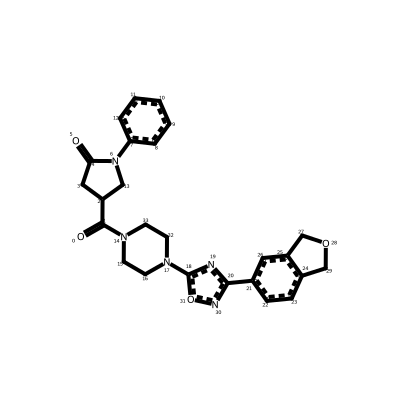 O=C(C1CC(=O)N(c2ccccc2)C1)N1CCN(c2nc(-c3ccc4c(c3)COC4)no2)CC1